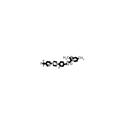 Cc1ccn2c(C(=O)NCc3ccc(N4CCN(c5ccc(C(F)(F)F)cn5)CC4)c(F)c3)c(C)nc2c1